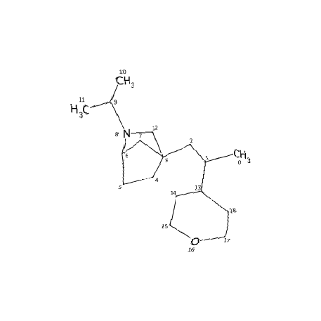 CC(CC12CCC(C1)N(C(C)C)C2)C1CCOCC1